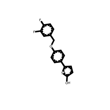 Oc1ccc(-c2ccc(OCc3ccc(F)c(F)c3)cc2)s1